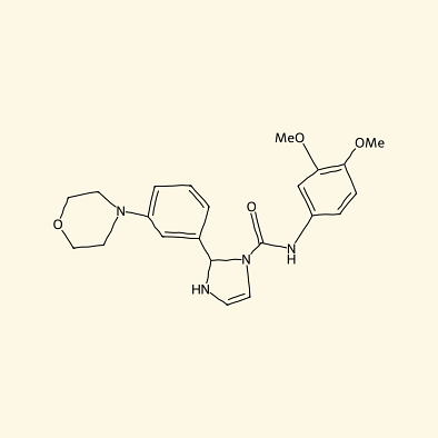 COc1ccc(NC(=O)N2C=CNC2c2cccc(N3CCOCC3)c2)cc1OC